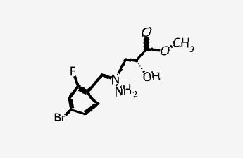 COC(=O)[C@H](O)CN(N)Cc1ccc(Br)cc1F